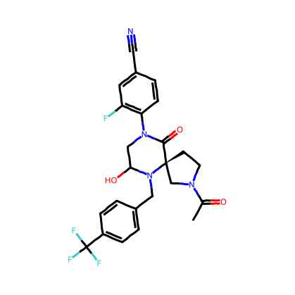 CC(=O)N1CC[C@]2(C1)C(=O)N(c1ccc(C#N)cc1F)CC(O)N2Cc1ccc(C(F)(F)F)cc1